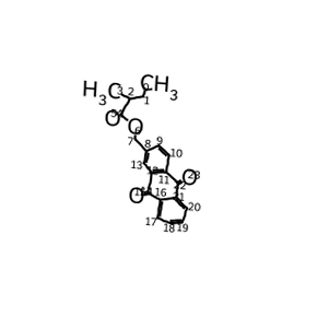 CCC(C)C(=O)OCc1ccc2c(c1)C(=O)c1ccccc1C2=O